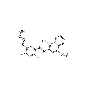 Cc1cc(C)c(SOOO)cc1N=Nc1cc(S(=O)(=O)O)c2ccccc2c1O